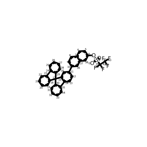 O=S(=O)(Oc1ccc2ccc(-c3ccc4c(c3)C3(c5ccccc5-c5ccccc53)c3ccccc3-4)cc2c1)C(F)(F)C(F)(F)F